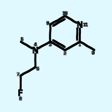 Cc1cc(N(C)CCF)ccn1